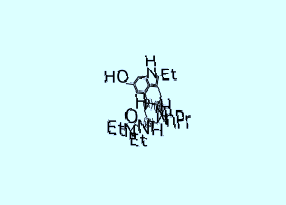 CCCN1C[C@@H](NC(=O)N(CC)CC)C[C@@H]2c3cc(CO)cc4[nH]c(CC)c(c34)C[C@H]21